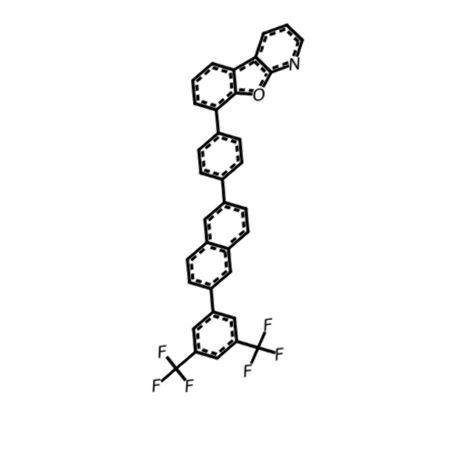 FC(F)(F)c1cc(-c2ccc3cc(-c4ccc(-c5cccc6c5oc5ncccc56)cc4)ccc3c2)cc(C(F)(F)F)c1